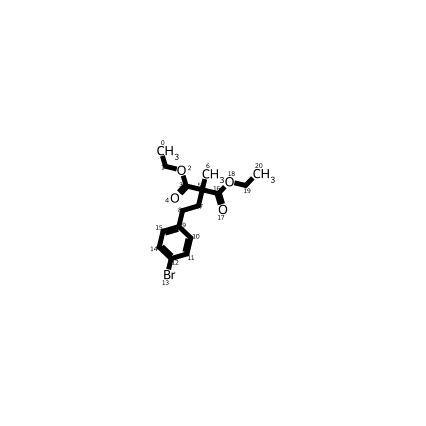 CCOC(=O)C(C)(CCc1ccc(Br)cc1)C(=O)OCC